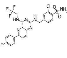 NS(=O)(=O)c1ccc(CNc2nc(NCC(F)(F)F)c3nc(-c4ccc(F)cc4)ccc3n2)cc1Cl